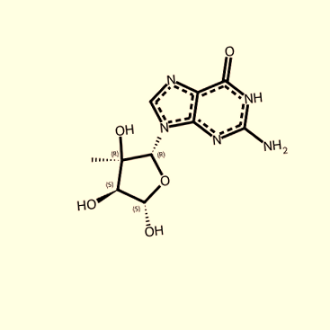 C[C@@]1(O)[C@H](O)[C@@H](O)O[C@H]1n1cnc2c(=O)[nH]c(N)nc21